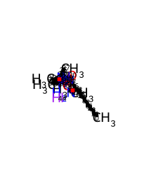 CCCCCCCCCCCCCCC(CCCn1c(=O)nc2n(CCCC)c3cc(C)c(C)cc3nc-2c1=O)C(C)(C)N.I